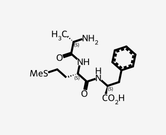 CSCC[C@H](NC(=O)[C@H](C)N)C(=O)N[C@@H](Cc1ccccc1)C(=O)O